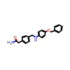 NC(=O)Cc1ccc(CNc2ccc(OCc3ccccc3)cc2)cc1